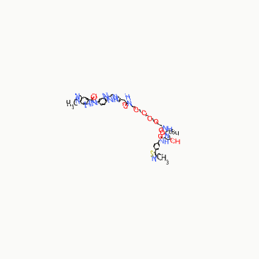 Cc1ncsc1-c1ccc(CNC(=O)[C@@H]2C[C@@H](O)CN2C(=O)C(NC(=O)CCOCCOCCOCCOCCNC(=O)CC2CCN(Cc3nc4cc(NC(=O)c5ccc6c(cnn6C)c5)ccc4[nH]3)C2)C(C)(C)C)cc1